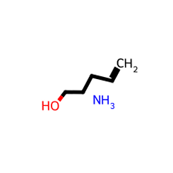 C=CCCCO.N